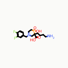 NCCCCC1(C(=O)O)CN(Cc2ccc(F)c(F)c2)CCP1(=O)O